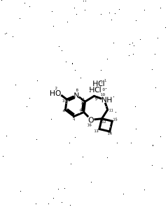 Cl.Cl.Oc1ccc2c(n1)CNCC1(CCC1)O2